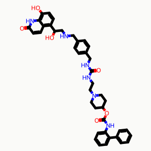 O=C(NCCN1CCC(OC(=O)Nc2ccccc2-c2ccccc2)CC1)NCc1ccc(CNCC(O)c2ccc(O)c3[nH]c(=O)ccc23)cc1